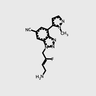 Cn1nccc1-c1cc(C#N)cc2c1nnn2C/C(F)=C/CN